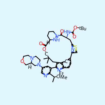 CCn1c(-c2cc(N3CCN4CCOC[C@@H]4C3)cnc2[C@H](C)OC)c2c3cc(ccc31)-c1csc(n1)C[C@H](NC(=O)OC(C)(C)C)C(=O)N1CCC[C@H](N1)C(=O)OCC(C)(C)C2